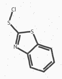 ClSc1nc2ccccc2s1